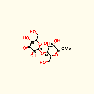 CO[C@@H]1OC(CO)[C@@H](O[C@@H]2OC(CO)[C@@H](O)C(=O)[C@@H]2O)C(O)[C@@H]1O